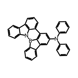 c1ccc(N(c2ccccc2)c2cc3c4c(c2)-c2cccc5c6ccccc6n(c25)B4c2ccccc2-3)cc1